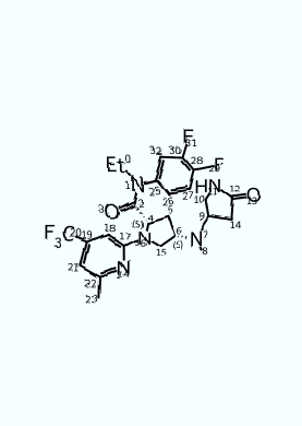 CCN(C(=O)[C@@H]1C[C@H](N(C)C2CNC(=O)C2)CN1c1cc(C(F)(F)F)cc(C)n1)c1ccc(F)c(F)c1